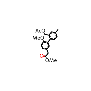 COC(=O)Cc1ccc(OC)c(-c2ccc(C)cc2COC(C)=O)c1